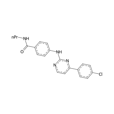 CCCNC(=O)c1ccc(Nc2nccc(-c3ccc(Cl)cc3)n2)cc1